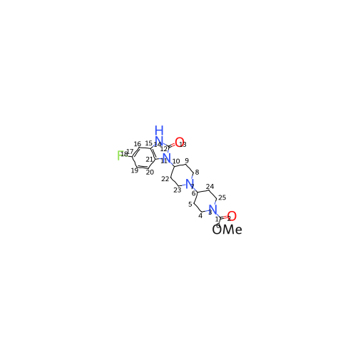 COC(=O)N1CCC(N2CCC(n3c(=O)[nH]c4cc(F)ccc43)CC2)CC1